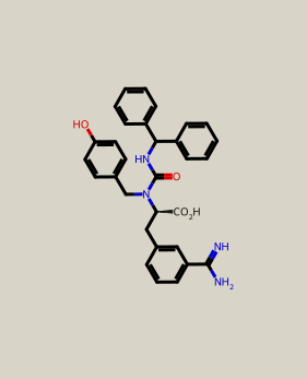 N=C(N)c1cccc(C[C@H](C(=O)O)N(Cc2ccc(O)cc2)C(=O)NC(c2ccccc2)c2ccccc2)c1